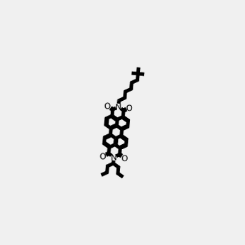 CCCC(CCC)N1C(=O)c2ccc3c4ccc5c6c(ccc(c7ccc(c2c37)C1=O)c64)C(=O)N(CCCCCCC(C)(C)C)C5=O